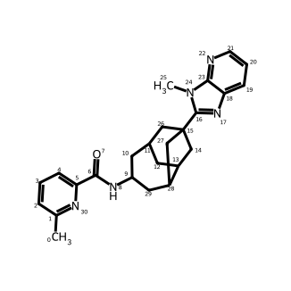 Cc1cccc(C(=O)NC2CC3CC4CC(c5nc6cccnc6n5C)(C3)CC4C2)n1